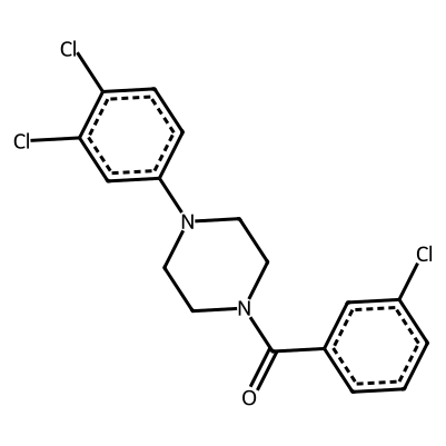 O=C(c1cccc(Cl)c1)N1CCN(c2ccc(Cl)c(Cl)c2)CC1